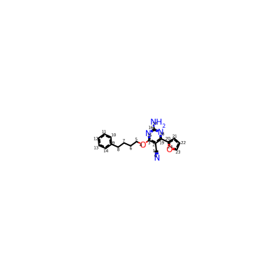 N#Cc1c(OCCCCc2ccccc2)nc(N)nc1-c1ccco1